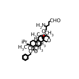 CC(C)[C@@H](C)[C@@]1(C)CC[C@]2(C)[C@H]3CC[C@@H]4C5(COC[C@]4(C)[C@@H](OCC(N)CCC=O)[C@H](C)C5)C3=CC[C@@]2(C)[C@@H]1C(=O)OCc1ccccc1